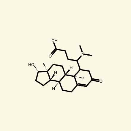 CN(C)C(CCC(=O)O)C1CC(=O)C=C2CC[C@H]3[C@@H]4CC[C@H](O)[C@@]4(C)CC[C@@H]3[C@]21C